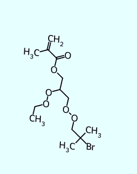 C=C(C)C(=O)OCC(COOCC(C)(C)Br)OOCC